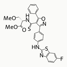 COC[C@H](NC(=S)c1c(-c2ccc(Nc3nc4ccc(F)cc4s3)cc2)noc1-c1ccccc1)C(=O)OC